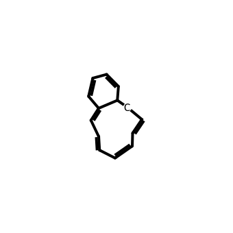 C1=C/C2=C/C=C/C=C\C=C\CC2C=C1